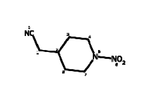 N#CCC1CCN([N+](=O)[O-])CC1